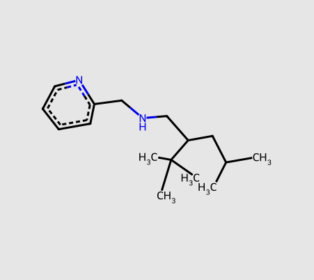 CC(C)CC(CNCc1ccccn1)C(C)(C)C